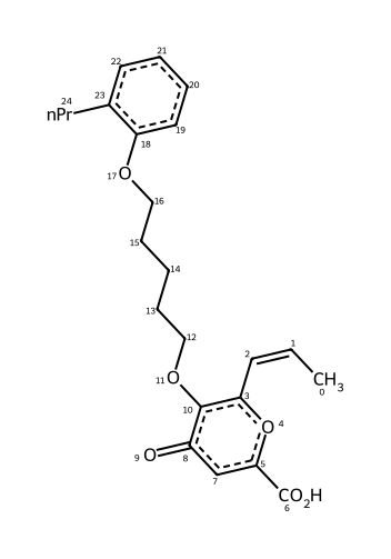 C/C=C\c1oc(C(=O)O)cc(=O)c1OCCCCCOc1ccccc1CCC